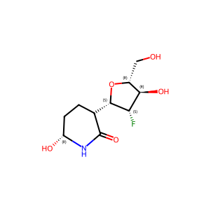 O=C1N[C@H](O)CCC1[C@@H]1O[C@H](CO)[C@@H](O)[C@@H]1F